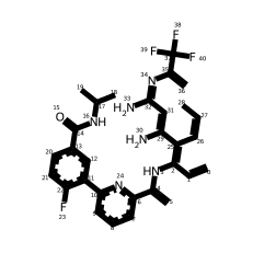 C=C/C(NC(=C)c1cccc(-c2cc(C(=O)NC(C)C)ccc2F)n1)=C(\C=C/C)C(/N)=C/C(N)=N\C(=C)C(F)(F)F